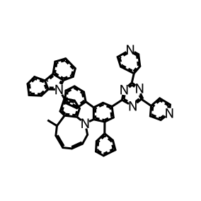 CC1/C=C\C=C/CN(c2c(-c3ccccc3)cc(-c3nc(-c4ccncc4)nc(-c4ccncc4)n3)cc2-c2ccccc2)c2ccc(-n3c4ccccc4c4ccccc43)cc21